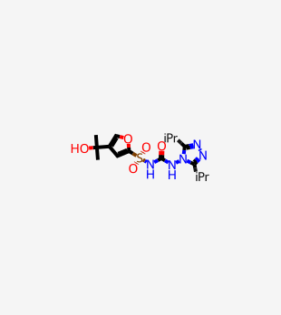 CC(C)c1nnc(C(C)C)n1NC(=O)NS(=O)(=O)c1cc(C(C)(C)O)co1